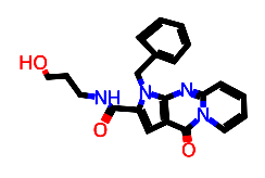 O=C(NCCCO)c1cc2c(=O)n3ccccc3nc2n1Cc1ccccc1